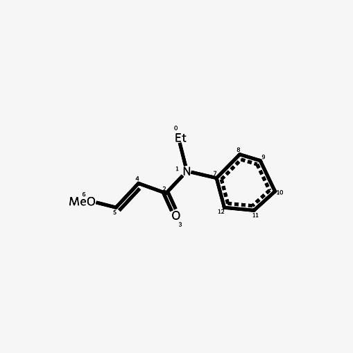 CCN(C(=O)C=COC)c1ccccc1